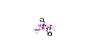 NC(Cc1ccccc1)CC(O)C(Cc1ccccc1)NC(=O)OCc1cncs1